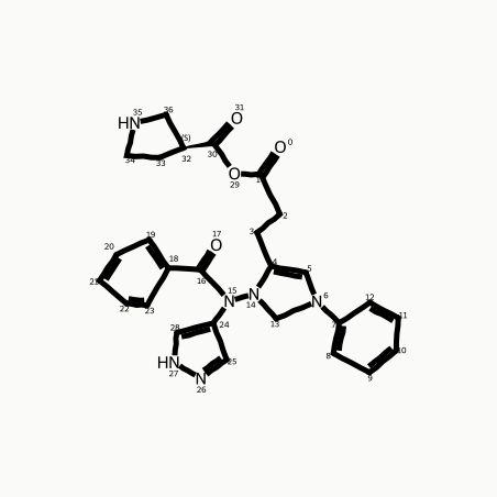 O=C(CCC1=CN(c2ccccc2)CN1N(C(=O)c1ccccc1)c1cn[nH]c1)OC(=O)[C@H]1CCNC1